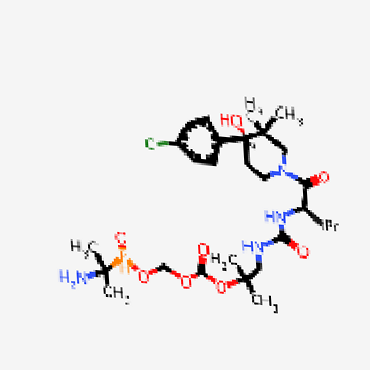 CC(C)C(NC(=O)NCC(C)(C)OC(=O)OCO[PH](=O)C(C)(C)N)C(=O)N1CC[C@](O)(c2ccc(Cl)cc2)C(C)(C)C1